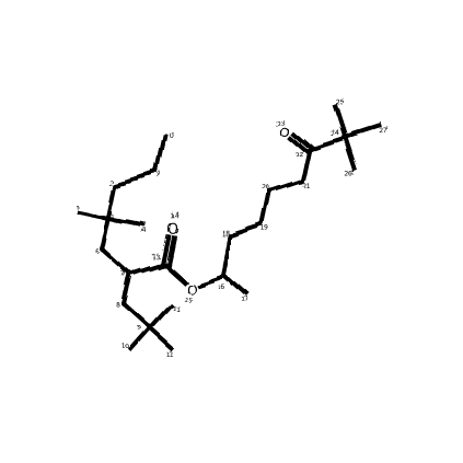 CCCC(C)(C)CC(CC(C)(C)C)C(=O)OC(C)CCCCC(=O)C(C)(C)C